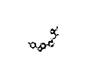 COc1cscc1C(C)CNc1cc(-c2cnc3c(cnn3C3CCN(C)CC3)c2)ncn1